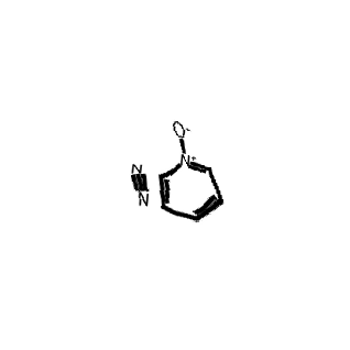 N#N.[O-][n+]1ccccc1